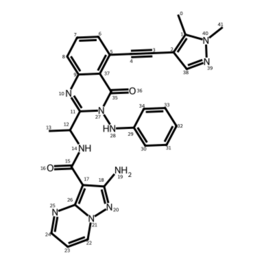 Cc1c(C#Cc2cccc3nc(C(C)NC(=O)c4c(N)nn5cccnc45)n(Nc4ccccc4)c(=O)c23)cnn1C